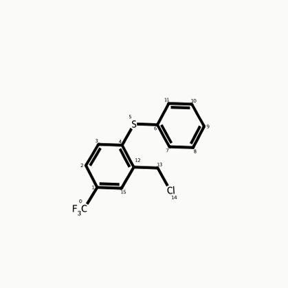 FC(F)(F)c1ccc(Sc2ccccc2)c(CCl)c1